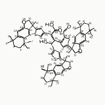 CC1(C)CCC(C)(C)c2cc3c(cc21)OCC3(C)c1cc(C(C(=O)O)=C(c2cc(C3(C)COc4cc5c(cc43)C(C)(C)CCC5(C)C)sc2C=O)C(O)c2csc(C3(C)COc4cc5c(cc43)C(C)(C)CCC5(C)C)c2)cs1